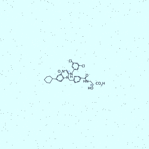 O=C(NC[C@@H](O)C(=O)O)c1ccc(CN(/C(=C\[N+](=O)[O-])Nc2cc(Cl)cc(Cl)c2)c2ccc(C3CCCCC3)cc2)cc1